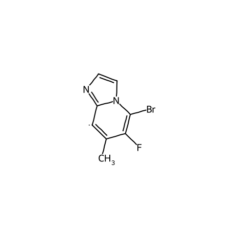 Cc1[c]c2nccn2c(Br)c1F